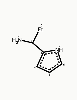 CCC(N)c1ccc[nH]1